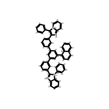 c1ccc(-c2c(-c3cccc(-c4cc(-c5cccc(-c6nc7ccccc7n6-c6ccccc6)c5)cc(-c5cccc6ccccc56)c4)c3)nc3ccccn23)cc1